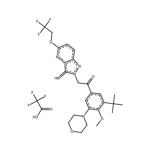 COc1c(N2CCOCC2)cc(C(=O)Cn2nc3ccc(OCC(F)(F)F)nn3c2=N)cc1C(C)(C)C.O=C(O)C(F)(F)F